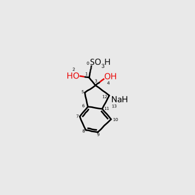 O=S(=O)(O)C(O)C1(O)Cc2ccccc2C1.[NaH]